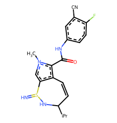 CC(C)C1C=Cc2c(cn(C)c2C(=O)Nc2ccc(F)c(C#N)c2)S(=N)N1